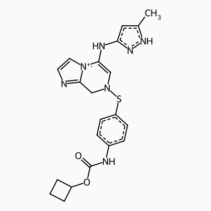 Cc1cc(NC2=CN(Sc3ccc(NC(=O)OC4CCC4)cc3)CC3=NC=C[N+]23)n[nH]1